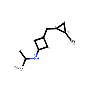 CCCCCCCCC(C)NC1CC(CC2CC2C(C)C)C1